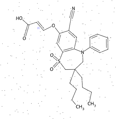 CCCCC1(CCCC)CN(c2ccccc2)c2cc(C#N)c(O/C=C/C(=O)O)cc2S(=O)(=O)C1